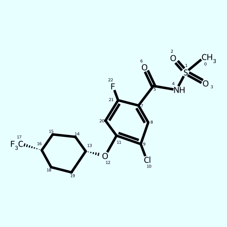 CS(=O)(=O)NC(=O)c1cc(Cl)c(O[C@H]2CC[C@@H](C(F)(F)F)CC2)cc1F